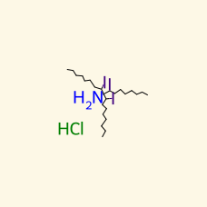 CCCCCCCC(I)C(N)(C(I)CCCCCCC)C(I)CCCCCCC.Cl